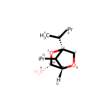 B[C@@H]1O[C@@]2(C(C)C(C)C)CO[C@H]1C2C(C)C